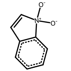 [O-][N+]1([O-])C=Cc2ccccc21